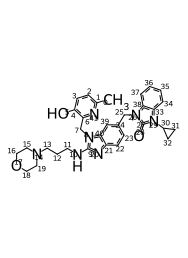 Cc1ccc(O)c(Cn2c(NCCCN3CCOCC3)nc3ccc(Cn4c(=O)n(C5CC5)c5ccccc54)cc32)n1